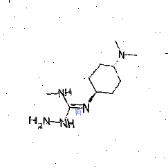 CN/C(=N\[C@H]1CC[C@H](N(C)C)CC1)NN